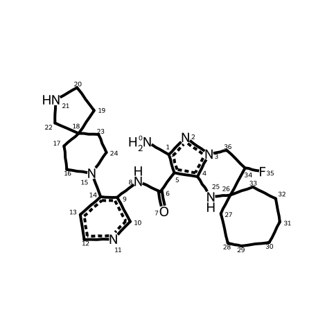 Nc1nn2c(c1C(=O)Nc1cnccc1N1CCC3(CCNC3)CC1)NC1(CCCCCCC1)C(F)C2